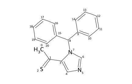 CC(=S)c1cncn1C(c1ccccc1)c1ccccc1